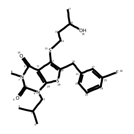 CC(C)Cn1c(=O)n(C)c(=O)c2c(SCCC(C)O)c(Cc3cccc(F)c3)sc21